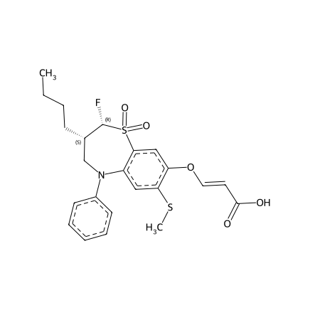 CCCC[C@H]1CN(c2ccccc2)c2cc(SC)c(OC=CC(=O)O)cc2S(=O)(=O)[C@H]1F